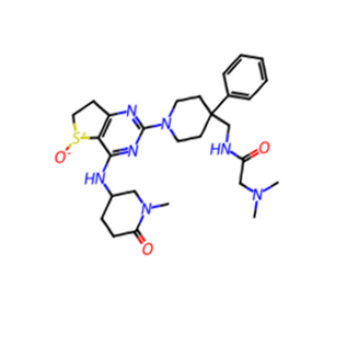 CN(C)CC(=O)NCC1(c2ccccc2)CCN(c2nc3c(c(NC4CCC(=O)N(C)C4)n2)[S+]([O-])CC3)CC1